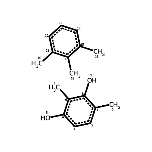 Cc1ccc(O)c(C)c1O.Cc1cccc(C)c1C